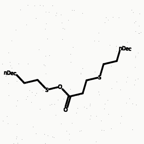 CCCCCCCCCCCCSCCC(=O)OSCCCCCCCCCCCC